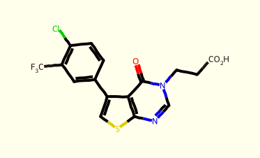 O=C(O)CCn1cnc2scc(-c3ccc(Cl)c(C(F)(F)F)c3)c2c1=O